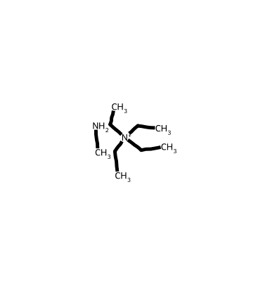 CC[N+](CC)(CC)CC.CN